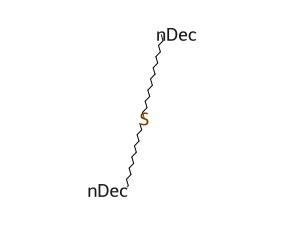 CCCCCCCCCCCCCCCCCCCCCCCCSCCCCCCCCCCCCCCCCCCCCCC